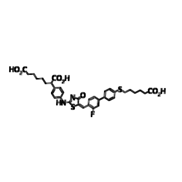 O=C(O)CCCCCSc1ccc(-c2ccc(/C=C3/SC(Nc4ccc(C(CCCCCC(=O)O)C(=O)O)cc4)=NC3=O)c(F)c2)cc1